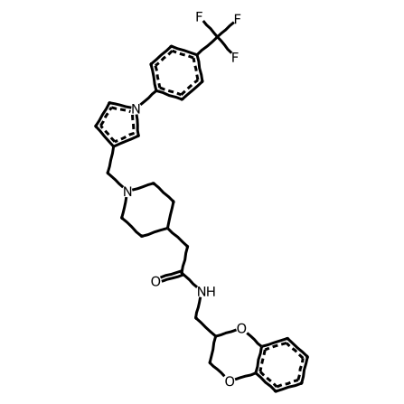 O=C(CC1CCN(Cc2ccn(-c3ccc(C(F)(F)F)cc3)c2)CC1)NCC1COc2ccccc2O1